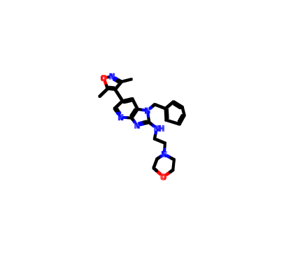 Cc1noc(C)c1-c1cnc2nc(NCCN3CCOCC3)n(Cc3ccccc3)c2c1